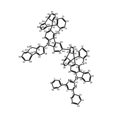 c1ccc(-c2cc(-c3ccccc3)nc(-n3c4ccccc4c4c5c(ccc43)C3(c4ccccc4S5)c4ccccc4-c4c(-c5ccc6c(c5)c5c7c(ccc5n6-c5ccc6c(c5)sc5ccccc56)C5(c6ccccc6S7)c6ccccc6-c6ccccc65)cccc43)n2)cc1